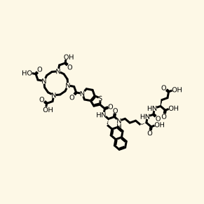 O=C(O)CC[C@H](NC(=O)N[C@@H](CCCCNC(=O)[C@H](Cc1ccc2ccccc2c1)NC(=O)c1cc2c(s1)CCN(C(=O)CN1CCN(CC(=O)O)CCN(CC(=O)O)CCN(CC(=O)O)CC1)C2)C(=O)O)C(=O)O